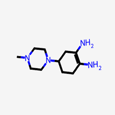 CN1CCN(C2CCC(N)=C(N)C2)CC1